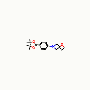 CC1(C)OB(c2ccc(N3CC4(CCO4)C3)cc2)OC1(C)C